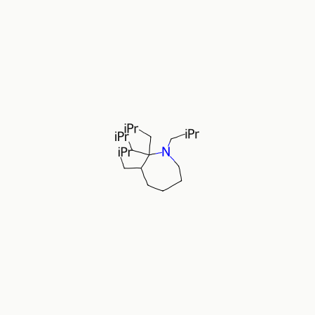 CC(C)CC1CCCCN(CC(C)C)C1(CC(C)C)CC(C)C